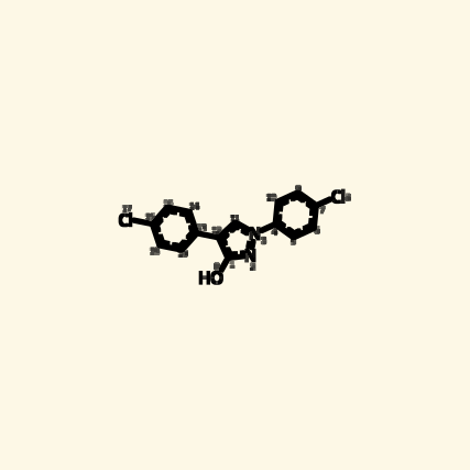 Oc1nn(-c2ccc(Cl)cc2)cc1-c1ccc(Cl)cc1